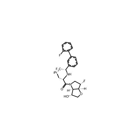 CC(C)C[C@H](N[C@@H](c1cccc(-c2ccccc2F)c1)C(F)(F)F)C(=O)N1C[C@H](F)[C@H]2OC[C@H](O)[C@H]21